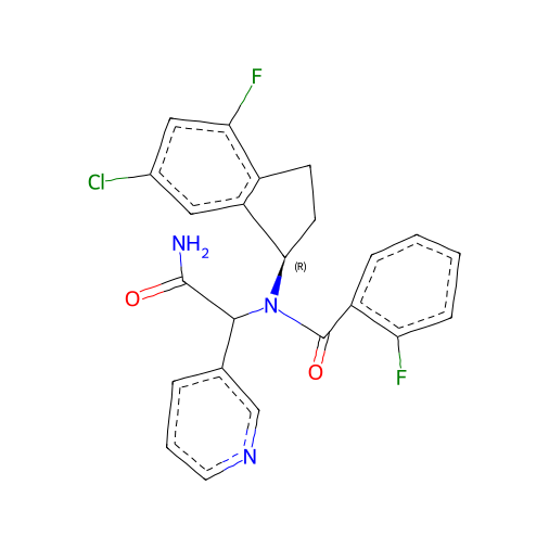 NC(=O)C(c1cccnc1)N(C(=O)c1ccccc1F)[C@@H]1CCc2c(F)cc(Cl)cc21